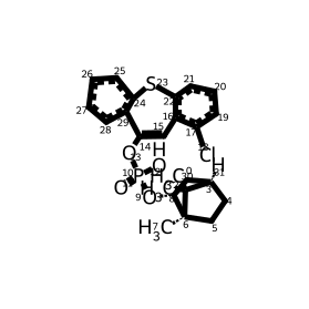 CC1(C)[C@@H]2CC[C@@]1(C)[C@H](OP(=O)(O)OC1=Cc3c(Cl)cccc3Sc3ccccc31)C2